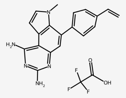 C=Cc1ccc(-c2cc3nc(N)nc(N)c3c3ccn(C)c23)cc1.O=C(O)C(F)(F)F